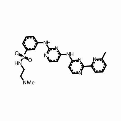 CNCCNS(=O)(=O)c1cccc(Nc2nccc(Nc3ccnc(-c4cccc(C)n4)n3)n2)c1